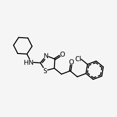 O=C(Cc1ccccc1Cl)CC1SC(NC2CCCCC2)=NC1=O